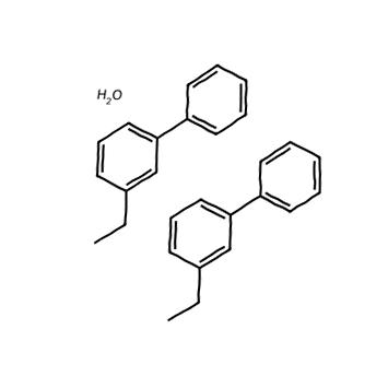 CCc1cccc(-c2ccccc2)c1.CCc1cccc(-c2ccccc2)c1.O